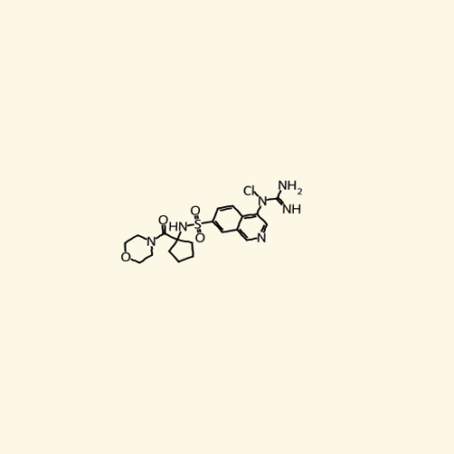 N=C(N)N(Cl)c1cncc2cc(S(=O)(=O)NC3(C(=O)N4CCOCC4)CCCC3)ccc12